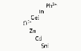 [Cd].[Ge].[In].[O-2].[Pb+2].[Sn].[Zn]